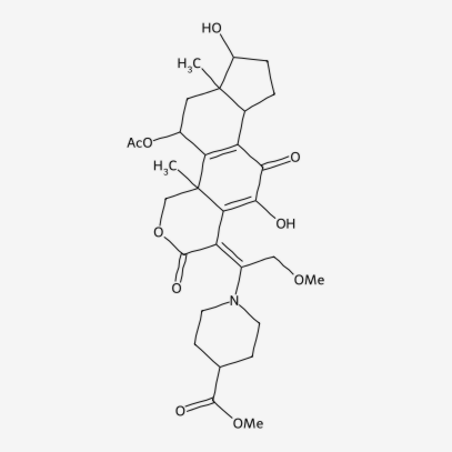 COCC(=C1C(=O)OCC2(C)C1=C(O)C(=O)C1=C2C(OC(C)=O)CC2(C)C(O)CCC12)N1CCC(C(=O)OC)CC1